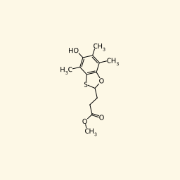 COC(=O)CCC1Oc2c(C)c(C)c(O)c(C)c2S1